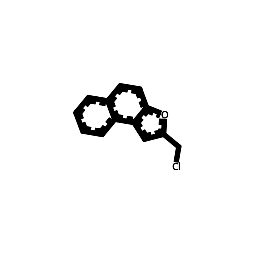 ClCc1cc2c(ccc3ccccc32)o1